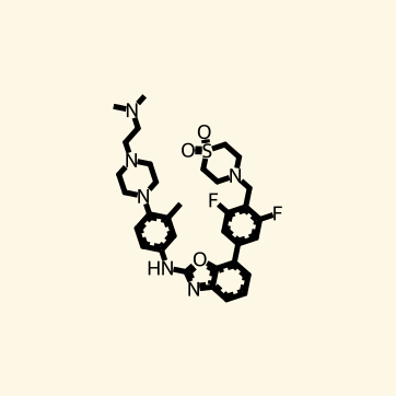 Cc1cc(Nc2nc3cccc(-c4cc(F)c(CN5CCS(=O)(=O)CC5)c(F)c4)c3o2)ccc1N1CCN(CCN(C)C)CC1